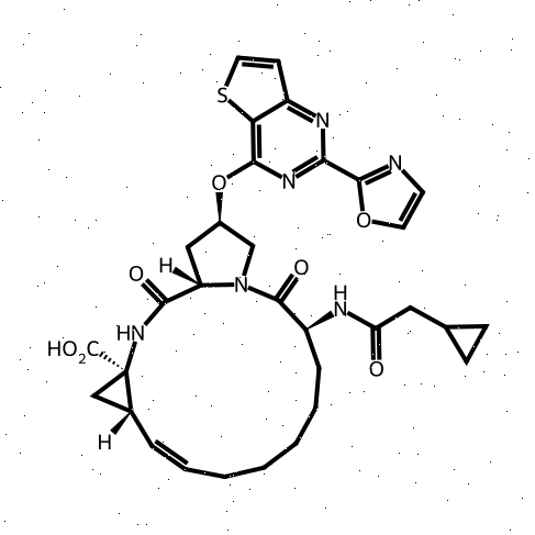 O=C(CC1CC1)N[C@H]1CCCCCC=C[C@@H]2C[C@@]2(C(=O)O)NC(=O)[C@@H]2C[C@@H](Oc3nc(-c4ncco4)nc4ccsc34)CN2C1=O